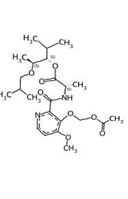 COc1ccnc(C(=O)N[C@@H](C)C(=O)O[C@@H](C(C)C)[C@H](C)OCC(C)C)c1OCOC(C)=O